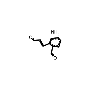 N.O=CC=Cc1ccccc1C=O